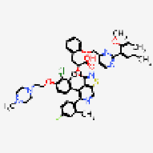 C/C=C(OC)\C(=C/CC)c1nccc(COc2ccccc2CC(Oc2nsc3cnc(-c4ccc(F)cc4C)c(-c4ccc(OCCN5CCN(C)CC5)c(Cl)c4C)c23)C(=O)O)n1